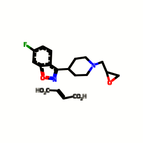 Fc1ccc2c(C3CCN(CC4CO4)CC3)noc2c1.O=C(O)/C=C/C(=O)O